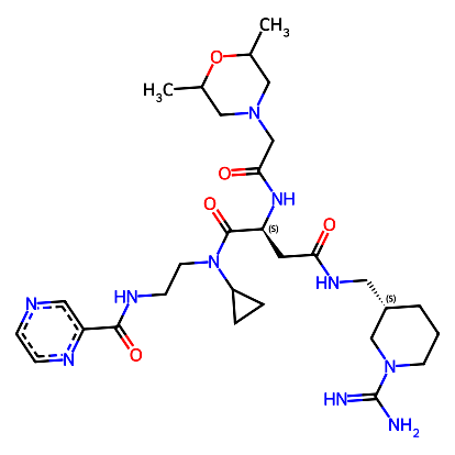 CC1CN(CC(=O)N[C@@H](CC(=O)NC[C@@H]2CCCN(C(=N)N)C2)C(=O)N(CCNC(=O)c2cnccn2)C2CC2)CC(C)O1